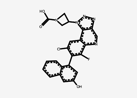 O=C(O)N1CC(n2nnc3cnc4c(F)c(-c5cc(O)cc6ccccc56)c(Cl)cc4c32)C1